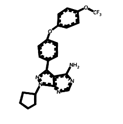 Nc1ncnc2c1c(-c1ccc(Oc3ccc(OC(F)(F)F)cc3)cc1)nn2C1CCCC1